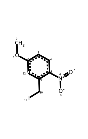 COc1ccc([N+](=O)[O-])c(CI)n1